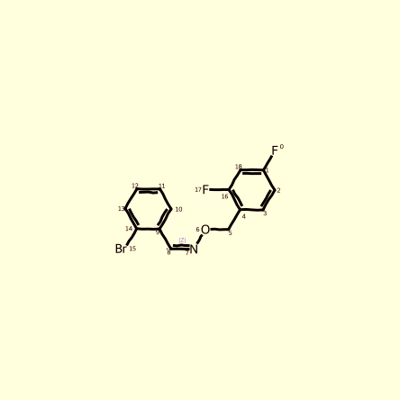 Fc1ccc(CO/N=[C]\c2ccccc2Br)c(F)c1